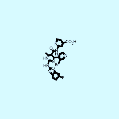 CC1=C(C(=O)Nc2cc(C(=O)O)ccn2)C(c2ccncc2Br)N=C(Nc2nc3ccc(F)cc3o2)N1